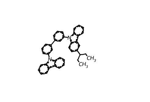 CCC(CC)c1ccc2c(c1)c1ccccc1n2-c1cccc(-c2cccc(-n3c4ccccc4c4ccccc43)c2)c1